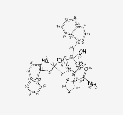 CC(O)(Cc1cccc2ccccc12)CN(CC(C)(O)Cc1cccc2ccccc12)C(=O)C1(C(N)=O)CCCC1